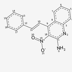 Nc1nc2ccccc2c(C=Cc2ccccc2)c1[N+](=O)[O-]